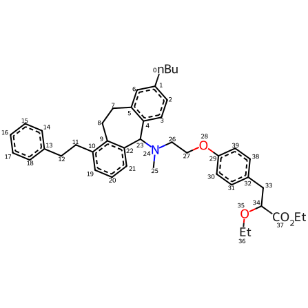 CCCCc1ccc2c(c1)CCc1c(CCc3ccccc3)cccc1C2N(C)CCOc1ccc(CC(OCC)C(=O)OCC)cc1